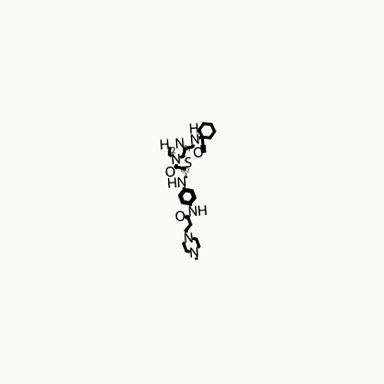 C#CC1(NC(=O)[C@@H](N)C2S[C@H](CNc3ccc(NC(=O)CCN4CCN(C)CC4)cc3)C(=O)N2CC)CCCCC1